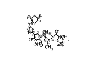 CCN1C(=O)c2c(O)c(=O)c(-c3nnc(Cc4ccc(F)cc4F)s3)cn2N(C)C12CCC(C(=O)N(C)CC(F)(F)F)CC2